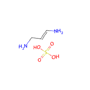 NC=CCN.O=S(=O)(O)O